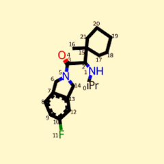 CC(C)NC(C(=O)N1Cc2ccc(F)cc2C1)C1(C)CCCCC1